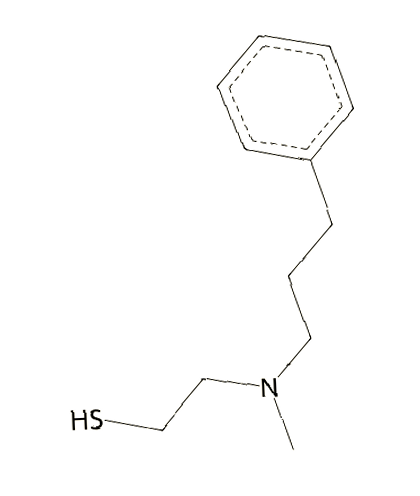 CN(CCS)CCCc1ccccc1